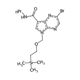 CCCNC(=O)c1cn(COCC[Si](C)(C)C)c2ncc(Br)nc12